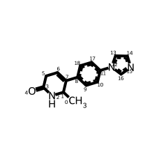 CC1NC(=O)CC=C1c1ccc(-n2ccnc2)cc1